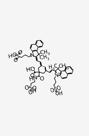 CC1(C)C(/C=C/C2=CC(=C/C=C3/N(CCCS(=O)(=O)O)c4ccc5ccccc5c4C3(C)C)/CC(C(=O)O)(C(=O)NCCS(=O)(=O)O)C2)=[N+](CCCS(=O)(=O)O)c2ccc3ccccc3c21